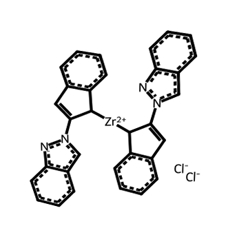 C1=C(n2cc3ccccc3n2)[CH]([Zr+2][CH]2C(n3cc4ccccc4n3)=Cc3ccccc32)c2ccccc21.[Cl-].[Cl-]